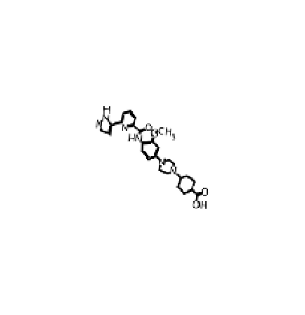 COc1cc(N2CCN(C3CCC(C(=O)O)CC3)CC2)ccc1NC(=O)c1cccc(-c2ccn[nH]2)n1